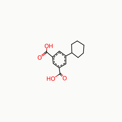 O=C(O)c1cc(C(=O)O)cc(C2CCCCC2)c1